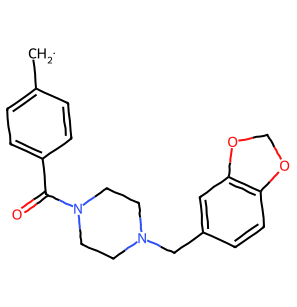 [CH2]c1ccc(C(=O)N2CCN(Cc3ccc4c(c3)OCO4)CC2)cc1